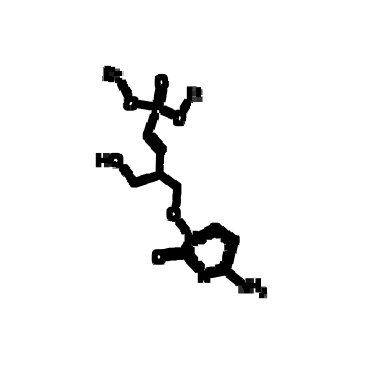 CCOP(=O)(C=CC(CO)COn1ccc(N)nc1=O)OCC